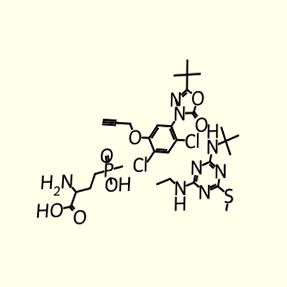 C#CCOc1cc(-n2nc(C(C)(C)C)oc2=O)c(Cl)cc1Cl.CCNc1nc(NC(C)(C)C)nc(SC)n1.CP(=O)(O)CCC(N)C(=O)O